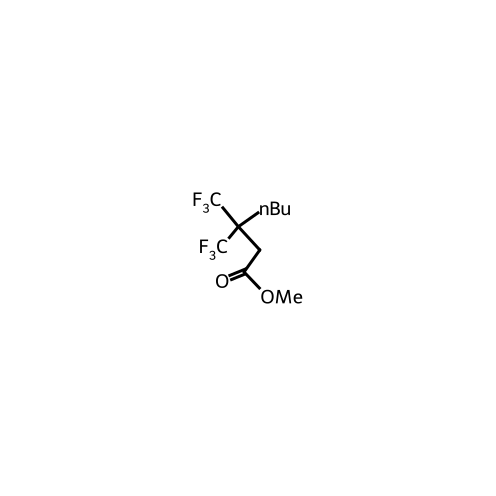 CCCCC(CC(=O)OC)(C(F)(F)F)C(F)(F)F